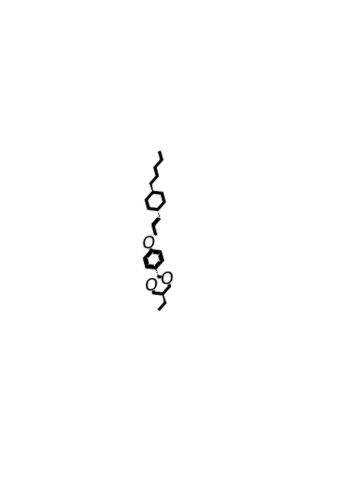 CCCCC[C@H]1CC[C@H](C=CCOc2ccc([C@H]3OC[C@H](CC)CO3)cc2)CC1